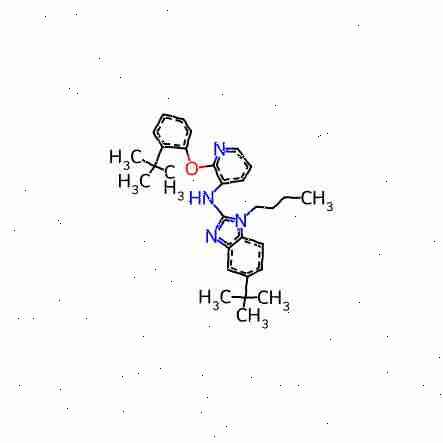 CCCCn1c(Nc2cccnc2Oc2ccccc2C(C)(C)C)nc2cc(C(C)(C)C)ccc21